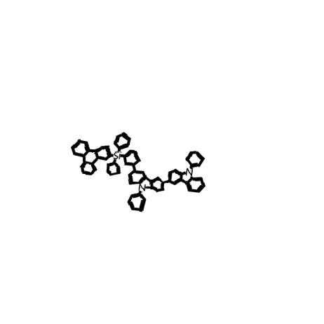 c1ccc(-n2c3ccccc3c3cc(-c4ccc5c(c4)c4cc(-c6cccc([Si](c7ccccc7)(c7ccccc7)c7ccc8c9ccccc9c9ccccc9c8c7)c6)ccc4n5-c4ccccc4)ccc32)cc1